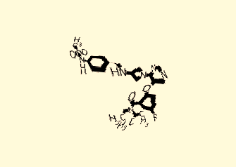 CCN(C(=O)c1cc(F)ccc1Oc1cncnc1N1CC(NC[C@H]2CC[C@H](NS(C)(=O)=O)CC2)C1)C(C)C